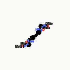 CC[C@H](C)[C@H](/N=C\OOC)C(=O)N1CCC[C@H]1c1ncc(-c2ccc(C#Cc3ccc4nc([C@@H]5CCCN5C(=O)[C@@H](NC(=O)OC)[C@@H](C)CC)[nH]c4c3)cc2)[nH]1